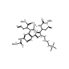 C=CCC(NC(=O)OC(C)(C)C)c1nc(-c2ccc(NC(=O)OC)cc2N(C(=O)C(F)(F)F)C(CC=C)C(=O)OC)cn1COCC[Si](C)(C)C